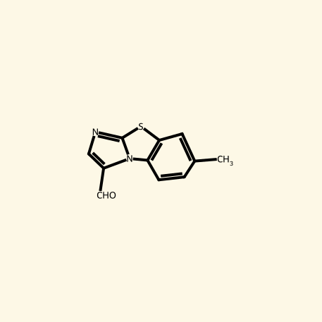 Cc1ccc2c(c1)sc1ncc(C=O)n12